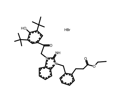 Br.CCOC(=O)CCc1ccccc1Cn1c(=N)n(CC(=O)c2cc(C(C)(C)C)c(O)c(C(C)(C)C)c2)c2ccccc21